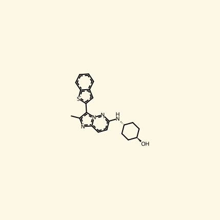 Cc1nc2ccc(N[C@H]3CC[C@H](O)CC3)nn2c1-c1cc2ccccc2s1